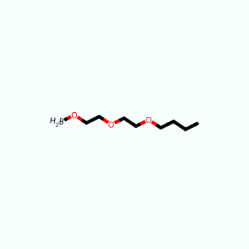 BOCCOCCOCCCC